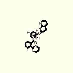 O=C(c1cccc(F)c1-c1ncccn1)N1C[C@@H]2CC[C@H]1[C@H](Oc1ccc3cccnc3n1)C2